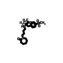 CC(C)C(C)(Cc1ccc(S(C)(=O)=O)cc1)NCCCCN1CCCCCC1=O